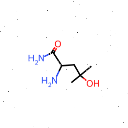 CC(C)(O)CC(N)C(N)=O